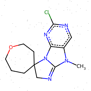 CN1C2=NCC3(CCCOCC3)N2c2nc(Cl)ncc21